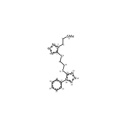 CSCCn1nnnc1S[CH]CSc1nnnn1-c1ccccc1